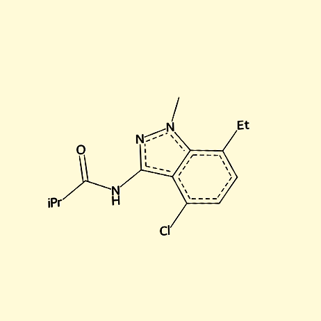 CCc1ccc(Cl)c2c(NC(=O)C(C)C)nn(C)c12